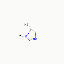 CN1[C]=NCC1C#N